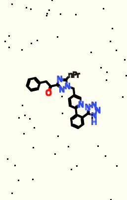 CCCc1nc(C(=O)Cc2ccccc2)nn1Cc1ccc(-c2ccccc2-c2nnn[nH]2)nc1